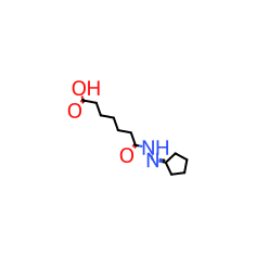 O=C(O)CCCCCC(=O)NN=C1CCCC1